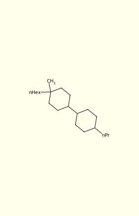 CCCCCCC1(C)CCC(C2CCC(CCC)CC2)CC1